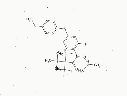 CSc1ccc(Sc2ccc(N(O[SiH](C)C)C(=O)C(C(C)(C)C)(C(F)(F)F)C(F)(F)F)c(F)c2)cc1